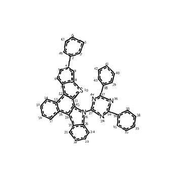 c1ccc(-c2ccc3c(c2)sc2c3c3ccccc3c3c4ccccc4n(-c4nc(-c5ccccc5)nc(-c5ccccc5)n4)c23)cc1